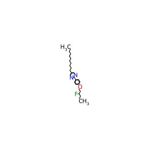 CCCCCCCCCCCc1cnc(-c2ccc(OCCC(F)CCC)cc2)nc1